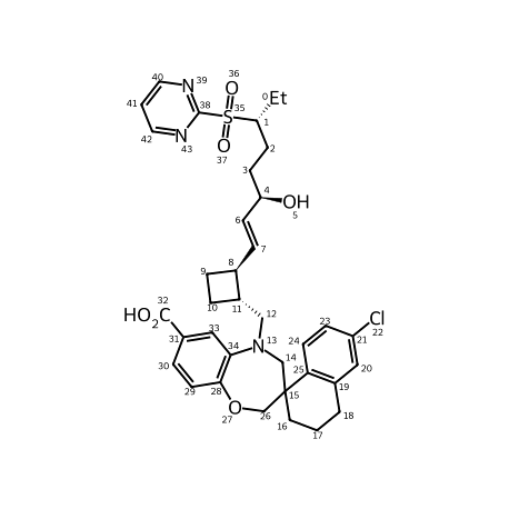 CC[C@H](CC[C@@H](O)/C=C/[C@@H]1CC[C@H]1CN1CC2(CCCc3cc(Cl)ccc32)COc2ccc(C(=O)O)cc21)S(=O)(=O)c1ncccn1